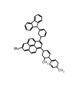 CC1C=NC(C2C=CC(c3cc(C4C=CC=C(n5c6ccccc6c6ccccc65)C4)c4ccc5cc(C(C)(C)C)cc6ccc3c4c56)CC2C)=CC1